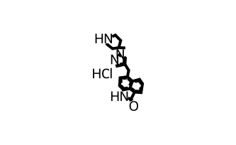 CC1(n2cc(Cc3ccc4c5c(cccc35)C(=O)N4)cn2)CCNCC1.Cl